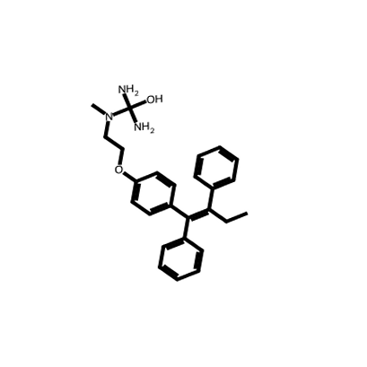 CC/C(=C(\c1ccccc1)c1ccc(OCCN(C)C(N)(N)O)cc1)c1ccccc1